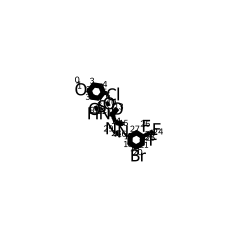 COc1ccc(Cl)c(S(=O)(=O)NC(=O)c2cn(-c3cc(Br)cc(C(F)(F)F)c3)cn2)c1